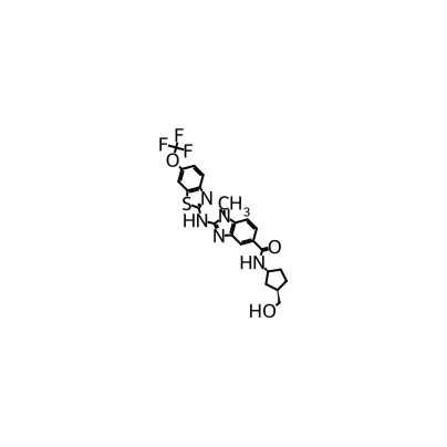 Cn1c(Nc2nc3ccc(OC(F)(F)F)cc3s2)nc2cc(C(=O)N[C@H]3CC[C@@H](CO)C3)ccc21